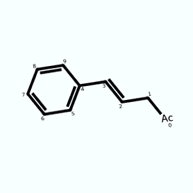 CC(=O)C/C=C/c1ccccc1